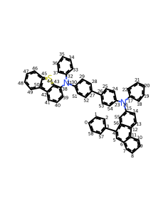 c1ccc(-c2cc3ccccc3c3ccc(N(c4ccccc4)c4ccc(-c5ccc(N(c6ccccc6)c6cccc7c6sc6ccccc67)cc5)cc4)cc23)cc1